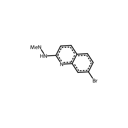 CNNc1ccc2ccc(Br)cc2n1